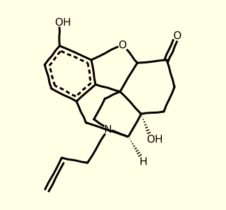 C=CCN1CCC23c4c5ccc(O)c4OC2C(=O)CC[C@@]3(O)[C@H]1C5